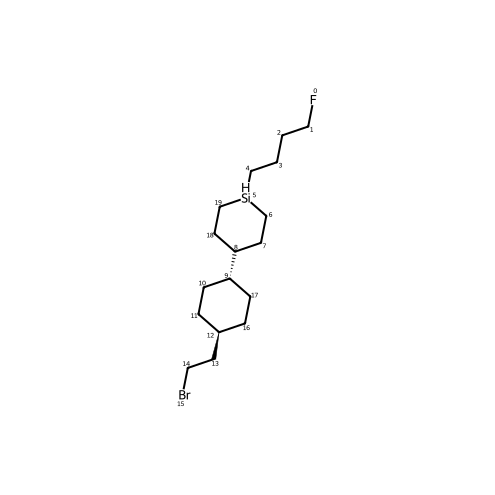 FCCCC[SiH]1CCC([C@H]2CC[C@H](CCBr)CC2)CC1